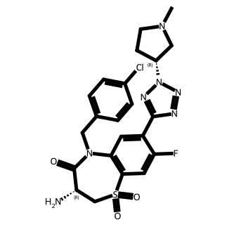 CN1CC[C@@H](n2nnc(-c3cc4c(cc3F)S(=O)(=O)C[C@H](N)C(=O)N4Cc3ccc(Cl)cc3)n2)C1